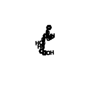 CS(=O)(=O)Nc1cc(OC[C@@H](O)CNCC2CCCc3ccc(O)cc32)ccc1OCc1ccccc1